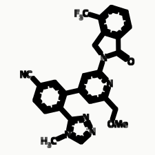 COCc1cc(-c2cc(C#N)ccc2-c2nncn2C)cc(N2Cc3c(cccc3C(F)(F)F)C2=O)n1